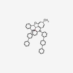 CC1C=CC(N(c2ccccc2)c2cccc(-c3ccc(-c4ccccc4)cc3)c2)=C2C(=C1)OC1c3ccccc3C(c3ccc(-c4ccccc4)cc3)=CC21